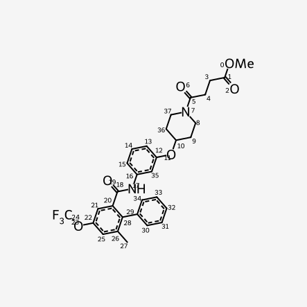 COC(=O)CCC(=O)N1CCC(Oc2cccc(NC(=O)c3cc(OC(F)(F)F)cc(C)c3-c3ccccc3)c2)CC1